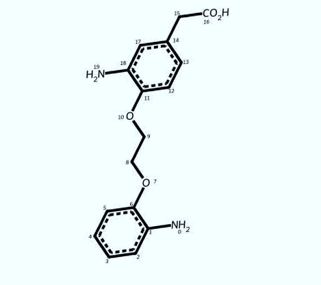 Nc1ccccc1OCCOc1ccc(CC(=O)O)cc1N